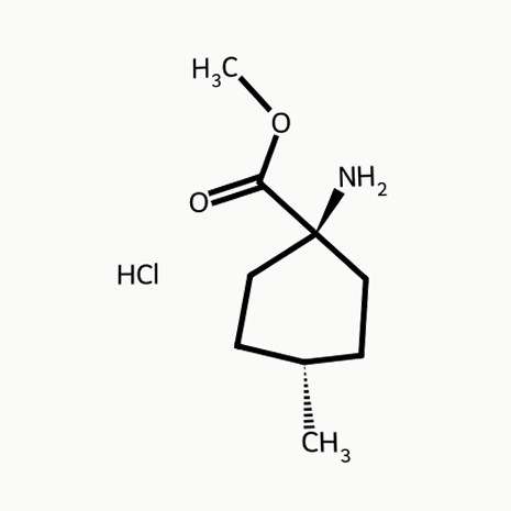 COC(=O)[C@]1(N)CC[C@H](C)CC1.Cl